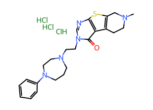 CN1CCc2c(sc3ncn(CCN4CCCN(c5ccccc5)CC4)c(=O)c23)C1.Cl.Cl.Cl